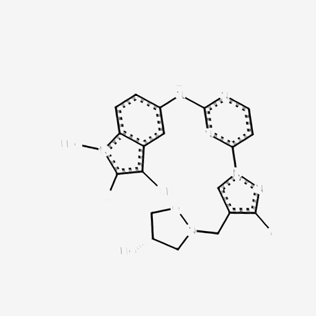 Cc1nn(-c2ccnc(Nc3ccc4c(c3)c(Cl)c(C)n4C)n2)cc1CN1C[C@H](O)CO1